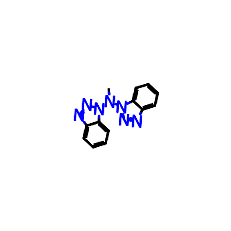 CN(n1nnc2ccccc21)n1nnc2ccccc21